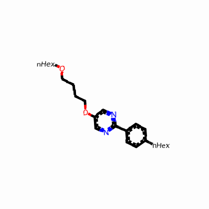 CCCCCCOCCCCOc1cnc(-c2ccc(CCCCCC)cc2)nc1